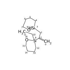 C=C(C[SiH]1CCCCO1)[Si]1(CC)CCCCO1